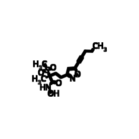 CCCC#Cc1cc(CC[C@](C)(C(=O)NO)S(C)(=O)=O)no1